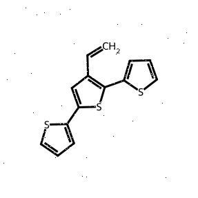 C=Cc1cc(-c2cccs2)sc1-c1cccs1